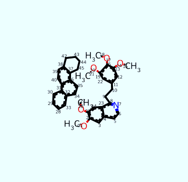 COc1cc2ccnc(CCc3cc(OC)c(OC)c(OC)c3)c2cc1OC.c1ccc2c(c1)ccc1c3c(ccc12)CCCC3